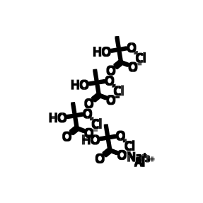 CC(O)(OCl)C(=O)[O-].CC(O)(OCl)C(=O)[O-].CC(O)(OCl)C(=O)[O-].CC(O)(OCl)C(=O)[O-].[Al+3].[Na+]